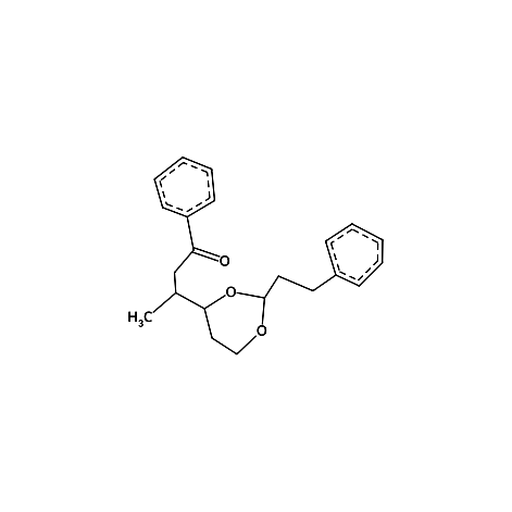 CC(CC(=O)c1ccccc1)C1CCOC(CCc2ccccc2)O1